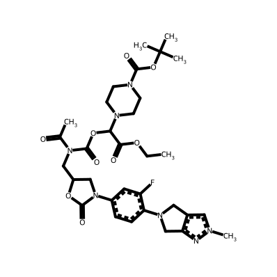 CCOC(=O)C(OC(=O)N(CC1CN(c2ccc(N3Cc4cn(C)nc4C3)c(F)c2)C(=O)O1)C(C)=O)N1CCN(C(=O)OC(C)(C)C)CC1